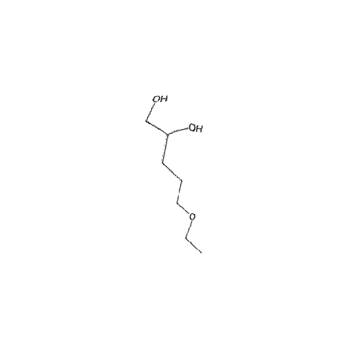 CCOCCCC(O)CO